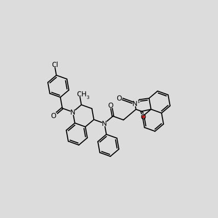 CC1CC(N(C(=O)CC2C(=O)C34C=CC=CC3=CC=CC4=C[N+]2=O)c2ccccc2)c2ccccc2N1C(=O)c1ccc(Cl)cc1